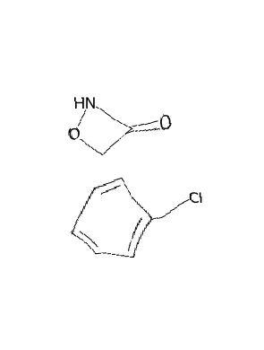 Clc1ccccc1.O=C1CON1